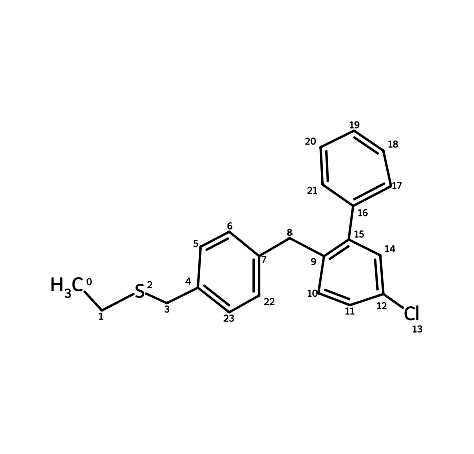 CCSCc1ccc([C]c2ccc(Cl)cc2-c2ccccc2)cc1